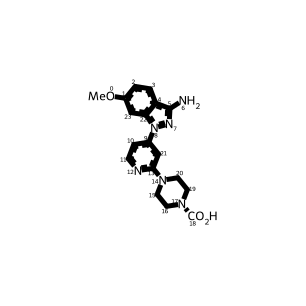 COc1ccc2c(N)nn(-c3ccnc(N4CCN(C(=O)O)CC4)c3)c2c1